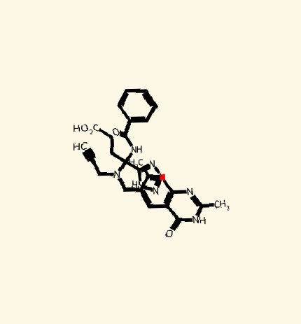 C#CCN(Cc1cc2c(=O)[nH]c(C)nc2cc1C)C(CCC(=O)O)(NC(=O)c1ccccc1)c1nnn[nH]1